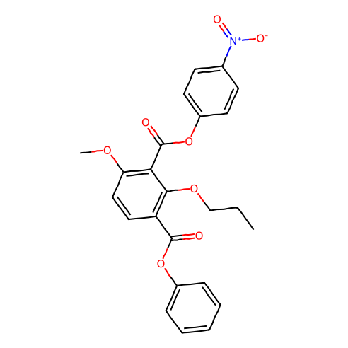 CCCOc1c(C(=O)Oc2ccccc2)ccc(OC)c1C(=O)Oc1ccc([N+](=O)[O-])cc1